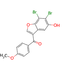 COc1ccc(C(=O)c2coc3c(Br)c(Br)c(O)cc23)cc1